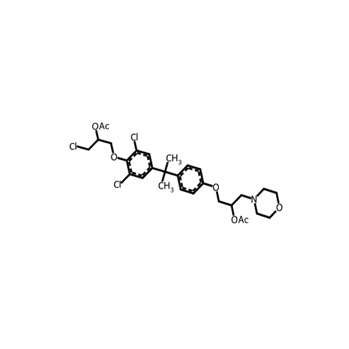 CC(=O)OC(CCl)COc1c(Cl)cc(C(C)(C)c2ccc(OCC(CN3CCOCC3)OC(C)=O)cc2)cc1Cl